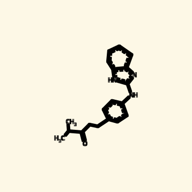 CC(C)C(=O)CCc1ccc(Nc2nc3ccccc3[nH]2)cc1